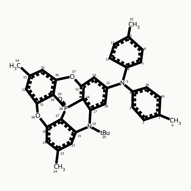 Cc1ccc(N(c2ccc(C)cc2)c2cc3c4c(c2)N(C(C)(C)C)c2cc(C)cc5c2P4(=O)c2c(cc(C)cc2O3)O5)cc1